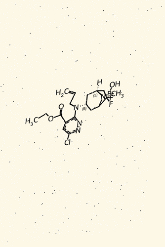 C=CCN(c1nnc(Cl)cc1C(=O)OCC)[C@H]1CC2N(B(C)O)[C@@H](C1)CC2(F)F